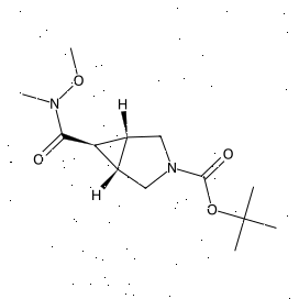 CON(C)C(=O)[C@H]1[C@@H]2CN(C(=O)OC(C)(C)C)C[C@@H]21